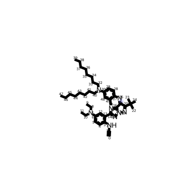 C#CNc1ccc(N(CC)CC)cc1-c1nc2n(n1)N=C(C(C)(C)C)/C2=N/c1ccc(N(CCCCCCCC)CCCCCCCC)cc1C